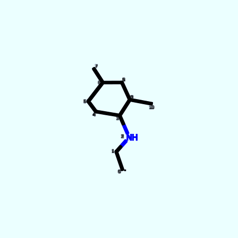 [CH2]CNC1CCC(C)CC1C